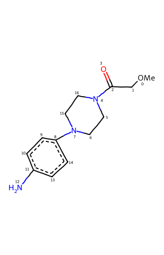 COCC(=O)N1CCN(c2ccc(N)cc2)CC1